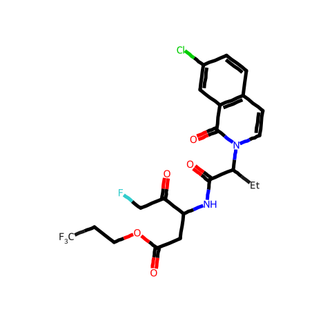 CCC(C(=O)NC(CC(=O)OCCC(F)(F)F)C(=O)CF)n1ccc2ccc(Cl)cc2c1=O